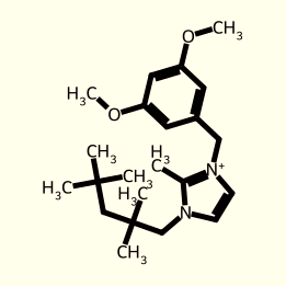 COc1cc(C[n+]2ccn(CC(C)(C)CC(C)(C)C)c2C)cc(OC)c1